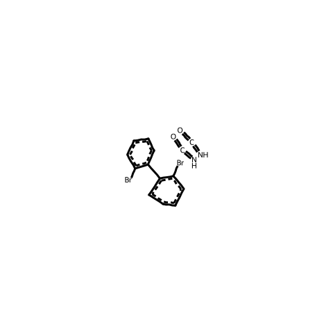 Brc1ccccc1-c1ccccc1Br.N=C=O.N=C=O